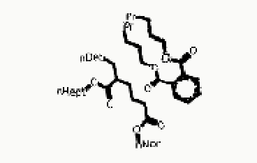 CC(C)CCCOC(=O)c1ccccc1C(=O)OCCCC(C)C.CCCCCCCCCCCC(CCCC(=O)OCCCCCCCCC)C(=O)OCCCCCCC